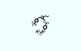 CCCc1nn(Cc2ccc(C(F)(F)F)cc2)cc1COC(=O)c1ccc(SC(C)(C)C(=O)OC(C)(C)C)cc1